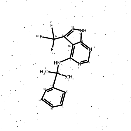 CC(C)(Nc1ncnc2[nH]cc(C(F)(F)F)c12)c1ccccc1